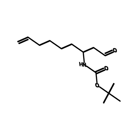 C=CCCCCC(CC=O)NC(=O)OC(C)(C)C